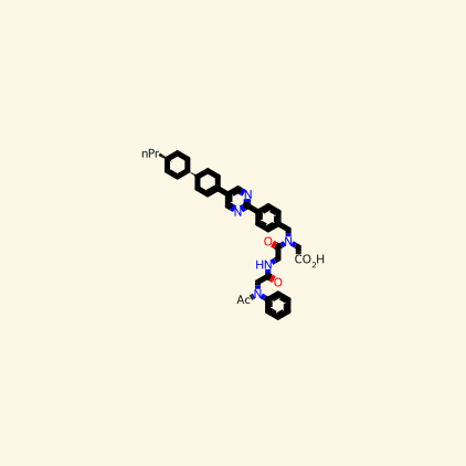 CCC[C@H]1CC[C@H](C2CC=C(c3cnc(-c4ccc(CN(CC(=O)O)C(=O)CNC(=O)CN(C(C)=O)c5ccccc5)cc4)nc3)CC2)CC1